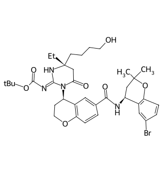 CC[C@@]1(CCCCO)CC(=O)N([C@@H]2CCOc3ccc(C(=O)N[C@H]4CC(C)(C)Oc5ccc(Br)cc54)cc32)/C(=N/C(=O)OC(C)(C)C)N1